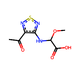 COC(Nc1nsnc1C(C)=O)C(=O)O